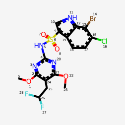 COc1nc(NS(=O)(=O)c2c[nH]c3c(Br)c(Cl)ccc23)nc(OC)c1CC(F)F